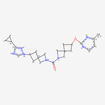 O=C(N1CC2(CC(Oc3nccc(C(F)(F)F)n3)C2)C1)N1CC2(CC(n3cnc(C4CC4)n3)C2)C1